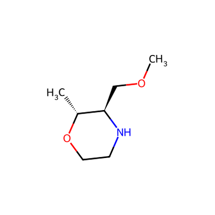 COC[C@H]1NCCO[C@@H]1C